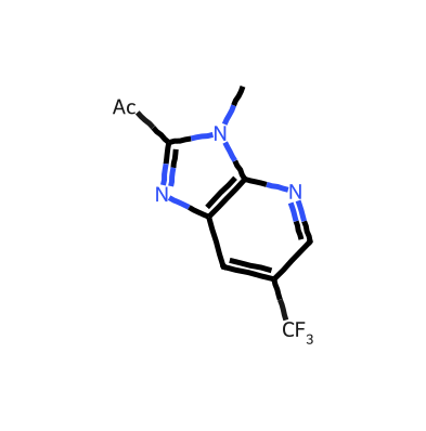 CC(=O)c1nc2cc(C(F)(F)F)cnc2n1C